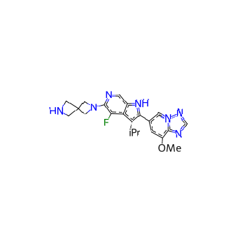 COc1cc(-c2[nH]c3cnc(N4CC5(CNC5)C4)c(F)c3c2C(C)C)cn2ncnc12